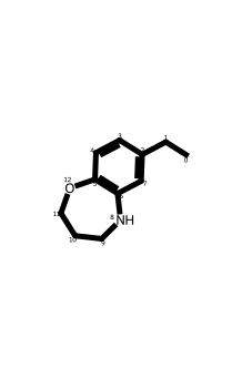 CCc1ccc2c(c1)NCCCO2